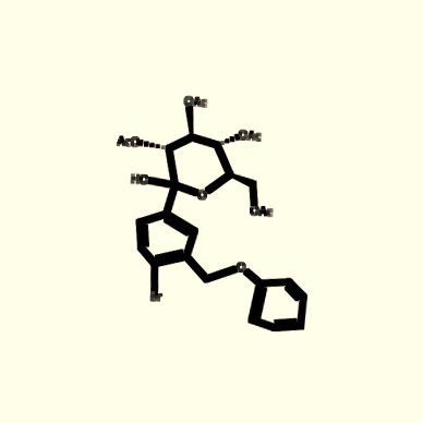 CC(=O)OC[C@H]1OC(O)(c2ccc(Br)c(COc3ccccc3)c2)[C@H](OC(C)=O)[C@@H](OC(C)=O)[C@@H]1OC(C)=O